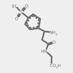 CCS(=O)(=O)c1ccc(C(N)CC(=O)NCC(=O)O)cc1